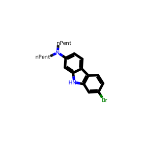 CCCCCN(CCCCC)c1ccc2c(c1)[nH]c1cc(Br)ccc12